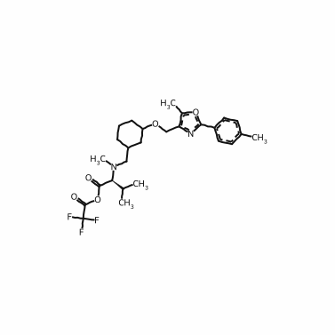 Cc1ccc(-c2nc(COC3CCCC(CN(C)[C@H](C(=O)OC(=O)C(F)(F)F)C(C)C)C3)c(C)o2)cc1